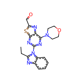 CCc1nc2ccccc2n1-c1nc(N2CCOCC2)c2nc(C=O)sc2n1